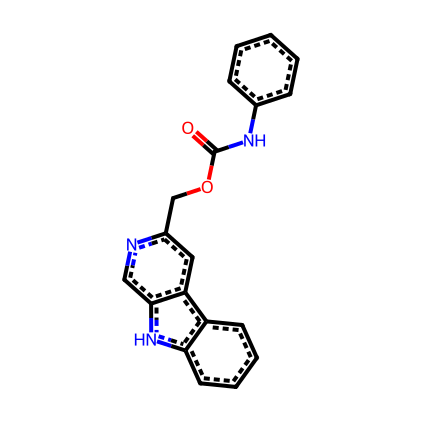 O=C(Nc1ccccc1)OCc1cc2c(cn1)[nH]c1ccccc12